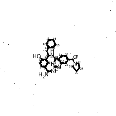 N=C(N)c1ccc(O)c(C(Cc2ccccc2)Nc2ncnc3cc(C(=O)N4CCCC4)ccc23)c1